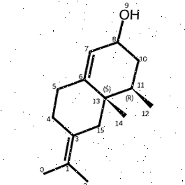 CC(C)=C1CCC2=CC(O)C[C@@H](C)[C@]2(C)C1